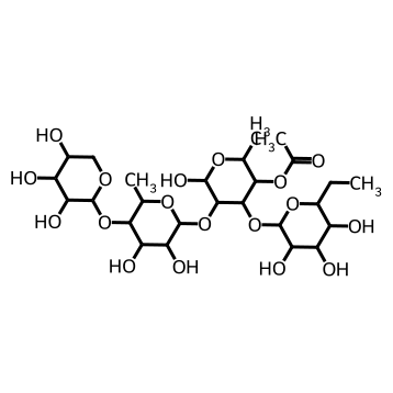 CCC1OC(OC2C(OC(C)=O)C(C)OC(O)C2OC2OC(C)C(OC3OCC(O)C(O)C3O)C(O)C2O)C(O)C(O)C1O